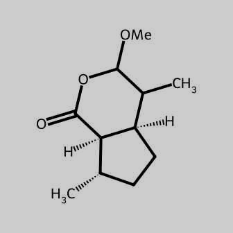 COC1OC(=O)[C@H]2[C@H](CC[C@@H]2C)C1C